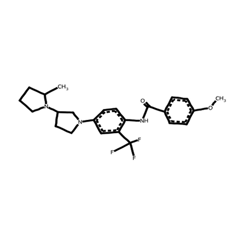 COc1ccc(C(=O)Nc2ccc(N3CCC(N4CCCC4C)C3)cc2C(F)(F)F)cc1